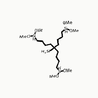 CO[SiH](CCCCC([SiH3])(CCCC[SiH](OC)OC)CCCC[SiH](OC)OC)OC